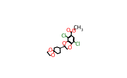 COC(=O)c1cc(Cl)c2c(c1Cl)O[C@H](C1CCC3(CC1)OCCO3)CO2